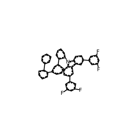 Fc1cc(F)cc(-c2ccc3c(c2)c2cc(-c4cc(F)cc(F)c4)ccc2n3-c2ccccc2-c2cccc(-c3ccccc3-c3ccccc3)c2)c1